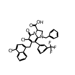 O=C(O)C1CN(Cc2ccccc2)c2c(-c3cccc(C(F)(F)F)c3)c(Cc3ccc(Cl)c4ccccc34)c(Cl)c(=O)n21